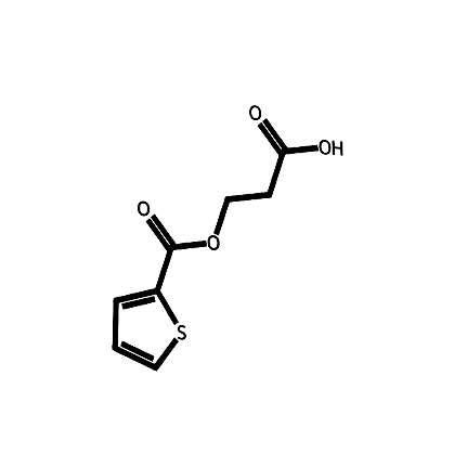 O=C(O)CCOC(=O)c1cccs1